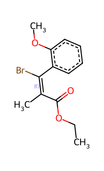 CCOC(=O)/C(C)=C(/Br)c1ccccc1OC